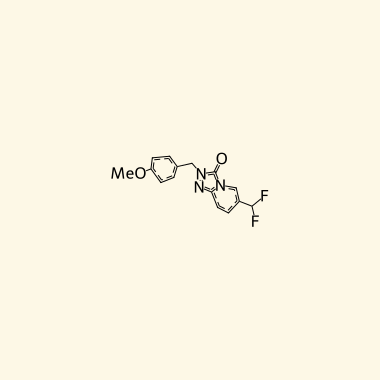 COc1ccc(Cn2nc3ccc(C(F)F)cn3c2=O)cc1